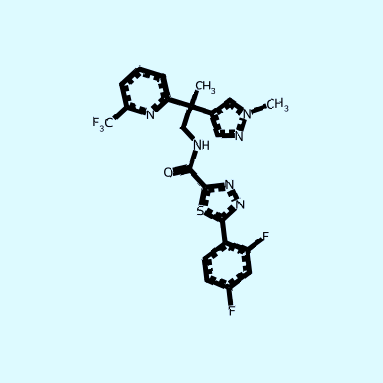 Cn1cc(C(C)(CNC(=O)c2nnc(-c3ccc(F)cc3F)s2)c2cccc(C(F)(F)F)n2)cn1